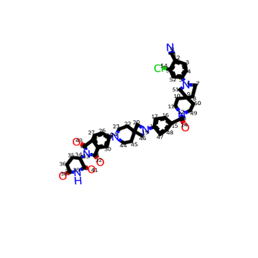 N#Cc1ccc(N2CCC3(CCN(C(=O)c4ccc(N5CC6(CCN(c7ccc8c(c7)C(=O)N(C7CCC(=O)NC7=O)C8=O)CC6)C5)cc4)CC3)C2)cc1Cl